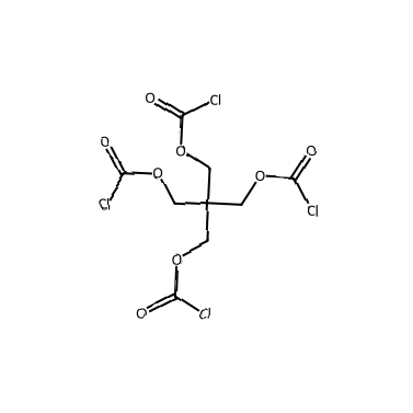 O=C(Cl)OCC(COC(=O)Cl)(COC(=O)Cl)COC(=O)Cl